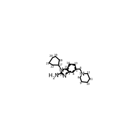 Nc1nc2cc(CN3CCCCC3)ccc2n1C1CCCCC1